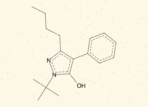 CCCCc1nn(C(C)(C)C)c(O)c1-c1ccccc1